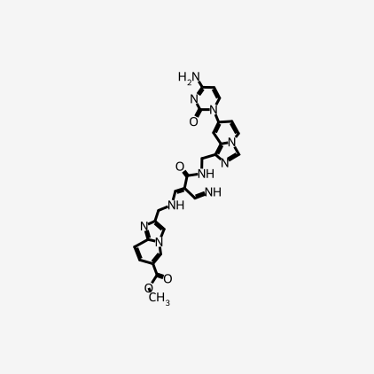 COC(=O)c1ccc2nc(CN/C=C(\C=N)C(=O)NCc3ncn4ccc(-n5ccc(N)nc5=O)cc34)cn2c1